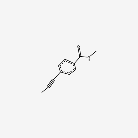 CC#Cc1ccc(C(=O)NC)cc1